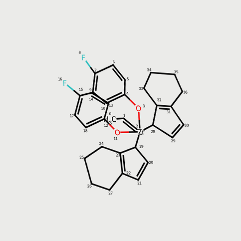 C[CH]=[Zr]([O]c1ccc(F)cc1)([O]c1ccc(F)cc1)([CH]1C=CC2=C1CCCC2)[CH]1C=CC2=C1CCCC2